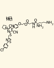 Cl.Cl.N#Cc1c(SCc2csc(-c3ccc(Cl)cc3)n2)nc(N2CCCC2)c(C#N)c1-c1ccc(OCCOC(=O)CCNC(=O)[C@@H](N)CCCCN)cc1